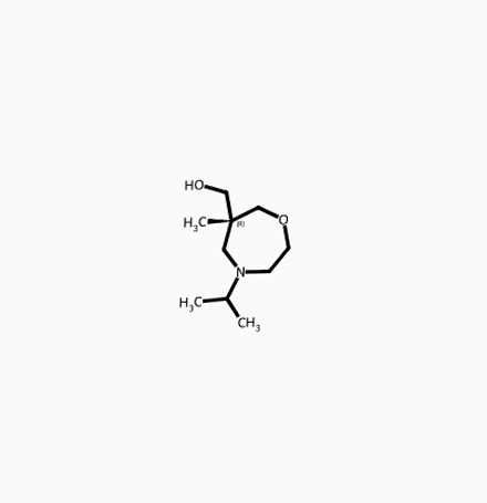 CC(C)N1CCOC[C@@](C)(CO)C1